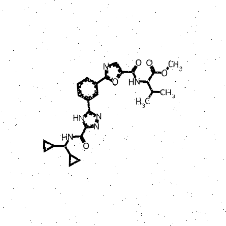 COC(=O)C(NC(=O)c1cnc(-c2cccc(-c3nnc(C(=O)NC(C4CC4)C4CC4)[nH]3)c2)o1)C(C)C